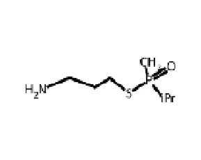 CC(C)P(C)(=O)SCCCN